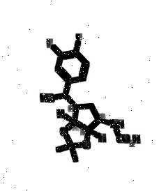 CC1(C)O[C@@H]2[C@H](O1)[C@@H](C(O)c1ccc(F)c(F)c1)C[C@H]2NC(=O)O